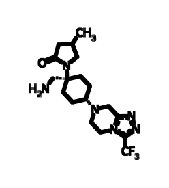 CC1CC(=O)N([C@]2(CN)CC[C@@H](N3CCn4c(nnc4C(F)(F)F)C3)CC2)C1